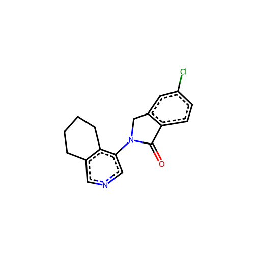 O=C1c2ccc(Cl)cc2CN1c1cncc2c1CCCC2